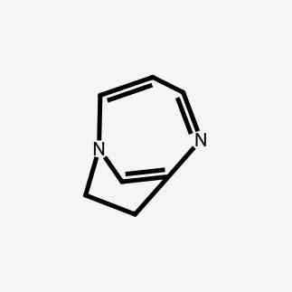 C1=CN2C=C(CC2)N=C1